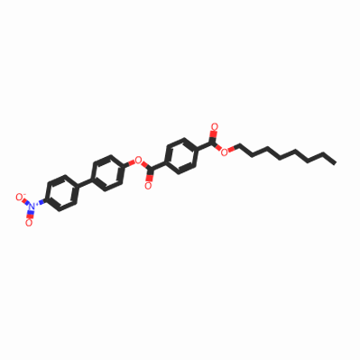 CCCCCCCCOC(=O)c1ccc(C(=O)Oc2ccc(-c3ccc([N+](=O)[O-])cc3)cc2)cc1